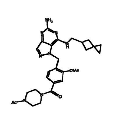 COc1cc(C(=O)N2CCN(C(C)=O)CC2)ccc1Cn1ncc2nc(N)nc(NCC3CC4(CC4)C3)c21